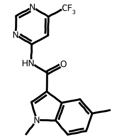 Cc1ccc2c(c1)c(C(=O)Nc1cc(C(F)(F)F)ncn1)cn2C